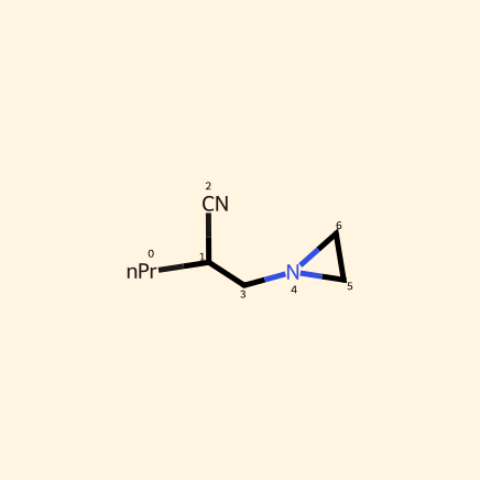 CCCC(C#N)CN1CC1